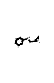 c1ccc(SCC2CS2)cc1